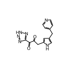 O=C(Cc1cc(Cc2ccncc2)c[nH]1)C(=O)c1nn[nH]n1